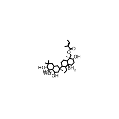 BC12CC[C@H](O)[C@](C)(COC(=O)/C(C)=C/C)C1CCC([C@@]1(C)CC3CC(C)(C)[C@@H](O)[C@H](O)[C@]3(CO)[C@H](O)C1)C2CC